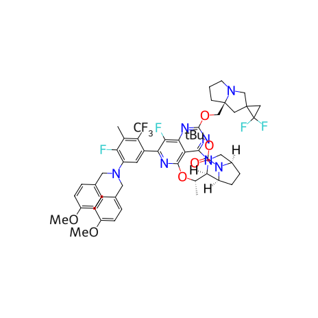 COc1ccc(CN(Cc2ccc(OC)cc2)c2cc(-c3nc4c5c(nc(OC[C@@]67CCCN6CC6(CC6(F)F)C7)nc5c3F)N3C[C@H]5CC[C@@H]([C@H]3[C@H](C)O4)N5C(=O)OC(C)(C)C)c(C(F)(F)F)c(C)c2F)cc1